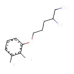 Cc1cccc(OCCCC(N)CN)c1C